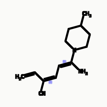 C=C/C(C#N)=C\C=C(/N)N1CCC(C)CC1